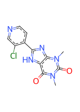 Cn1c(=O)c2[nH]c(-c3ccncc3Cl)nc2n(C)c1=O